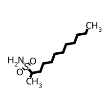 CCCCCCCCCCC(C)S(N)(=O)=O